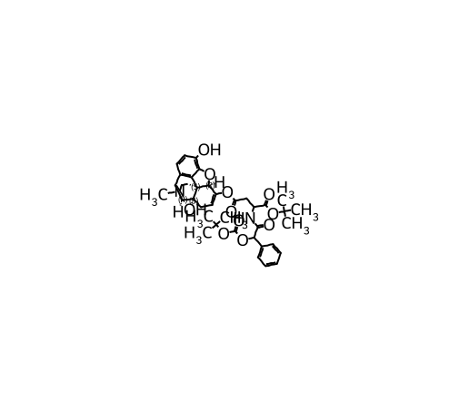 CN1CC[C@]23c4c5ccc(O)c4O[C@H]2C(OC(=O)CC(NC(=O)C(OC(=O)OC(C)(C)C)c2ccccc2)C(=O)OC(C)(C)C)=CC[C@@]3(O)[C@H]1C5